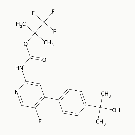 CC(C)(O)c1ccc(-c2cc(NC(=O)OC(C)(C)C(F)(F)F)ncc2F)cc1